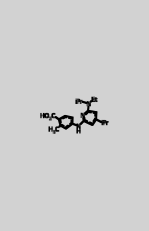 CCN(c1cc(C(C)C)cc(Nc2ccc(C(=O)O)c(C)c2)n1)C(C)C